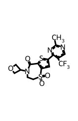 Cc1ncc(C(F)(F)F)c(-c2cc3c(s2)C(=O)N(C2COC2)CCS3(=O)=O)n1